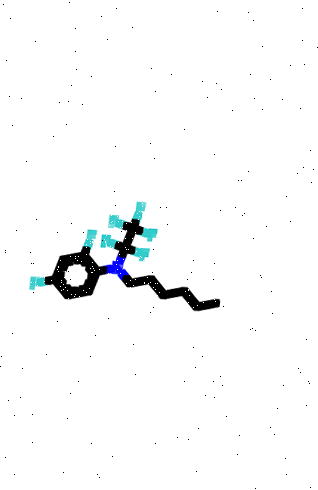 CCCCCCN(c1ccc(F)cc1F)C(F)(F)C(F)(F)F